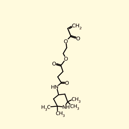 C=CC(=O)OCCOC(=O)CCC(=O)NC1CC(C)(C)NC(C)(C)C1